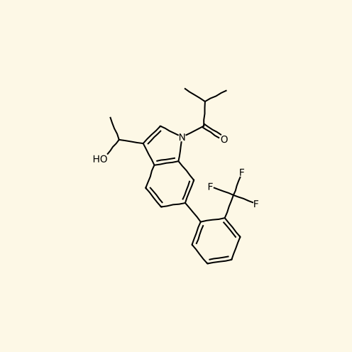 CC(C)C(=O)n1cc(C(C)O)c2ccc(-c3ccccc3C(F)(F)F)cc21